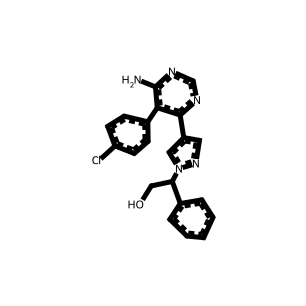 Nc1ncnc(-c2cnn(C(CO)c3ccccc3)c2)c1-c1ccc(Cl)cc1